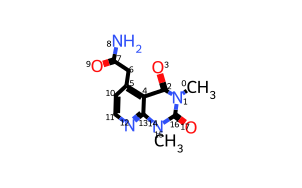 Cn1c(=O)c2c(CC(N)=O)ccnc2n(C)c1=O